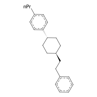 CCCc1ccc([C@H]2CC[C@H](CCc3ccccc3)CC2)cc1